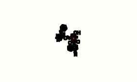 CC12OC(CCOc3nn(Cc4ccccc4)c4ncncc34)(CC1O)C1C(=O)N(c3ccc(C#N)c4ccccc34)C(=O)C12